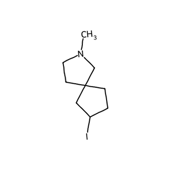 CN1CCC2(CCC(I)C2)C1